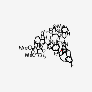 COC(=O)N[C@H](C(=O)N1[C@H](c2nc3cc(-c4cc5c(F)cc4CCC4=C[C@@H](c6ccc7[nH]c([C@@H]8C[C@@H]9CCCC[C@@H]9N8C(=O)[C@@H](NC(=O)OC)[C@@H](C)OC)nc7c6)C(C=C4F)CC5)ccc3[nH]2)C[C@@H]2CCCC[C@@H]21)[C@@H](C)OC